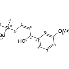 COc1cccc(C(O)/C=C\C[Si](C)(C)C(C)(C)C)c1